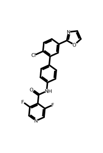 O=C(Nc1ccc(-c2cc(-c3ncco3)ccc2Cl)cc1)c1c(F)cncc1F